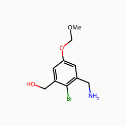 COCOc1cc(CN)c(Br)c(CO)c1